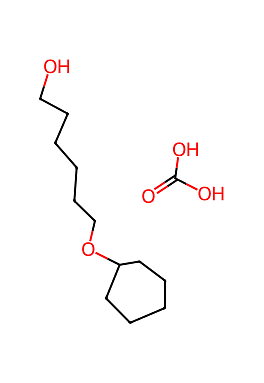 O=C(O)O.OCCCCCCOC1CCCCC1